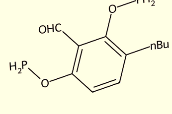 CCCCc1ccc(OP)c(C=O)c1OP